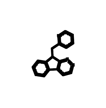 c1ccc(CC2c3ccccc3-c3ccnnc32)nc1